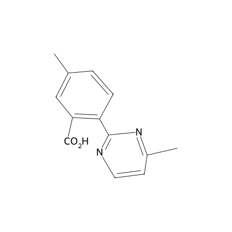 Cc1ccc(-c2nccc(C)n2)c(C(=O)O)c1